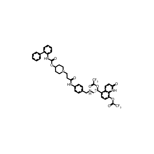 O=C(CCN1CCC(OC(=O)Nc2ccccc2-c2ccccc2)CC1)Nc1ccc(CNC[C@H](OC(=O)C(F)(F)F)c2ccc(OC(=O)C(F)(F)F)c3[nH]c(=O)ccc23)cc1